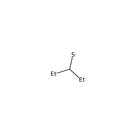 CCC([S])CC